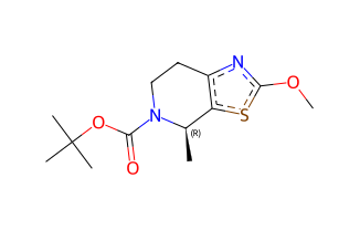 COc1nc2c(s1)[C@@H](C)N(C(=O)OC(C)(C)C)CC2